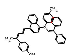 CC(=CC=Cc1ccc(N(C=C(c2ccccc2)c2ccccc2)c2ccc(C)cc2)c2ccccc12)c1ccc(O)cc1